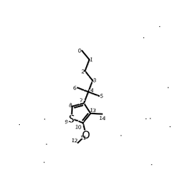 CCCCC(C)(C)c1csc(OC)c1C